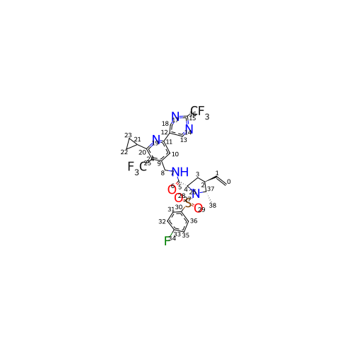 C=C[C@@H]1C[C@@H](C(=O)NCc2cc(-c3cnc(C(F)(F)F)nc3)nc(C3CC3)c2C(F)(F)F)N(S(=O)(=O)c2ccc(F)cc2)[C@H]1C